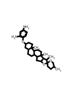 CC1CCC2(OC1)OC1CC3C4CCC5CC(Oc6ccc(N)cc6N)CCC5(C)C4CCC3(C)C1C2C